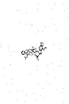 CCOc1nc(N)nc2c1ncn2[C@@H]1O[C@@H]2C(O[P@](=O)(N[C@@H](C)C(=O)OC(C)C)Oc3ccccc3)[C@]2(CF)[C@H]1OC(C)=O